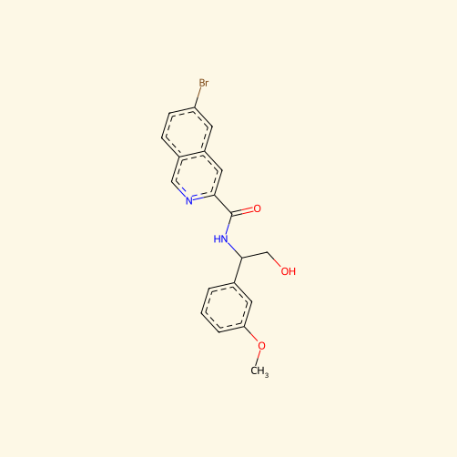 COc1cccc(C(CO)NC(=O)c2cc3cc(Br)ccc3cn2)c1